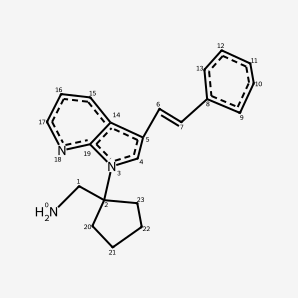 NCC1(n2cc(C=Cc3ccccc3)c3cccnc32)CCCC1